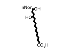 CCCCCCCCCC(O)CCC(O)CCCCCCCCCCCC(=O)O